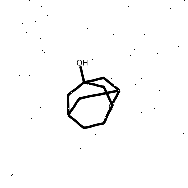 OC12CCC3CC(CC(C3)C1)C2